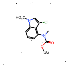 CN(C(=O)OC(C)(C)C)c1cccc2c1c(Cl)cn2C(=O)O